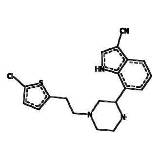 N#Cc1c[nH]c2c(C3CN(CCc4ccc(Cl)s4)CC[N]3)cccc12